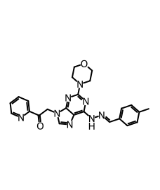 Cc1ccc(/C=N/Nc2nc(N3CCOCC3)nc3c2ncn3CC(=O)c2ccccn2)cc1